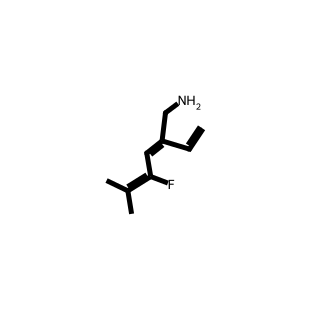 C=C/C(=C\C(F)=C(C)C)CN